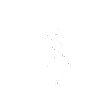 CC(C)(O)C1CCN(Cc2ccc3nc(-n4c(C(F)F)nc5ccccc54)nc(N4CCOCC4)c3n2)CC1